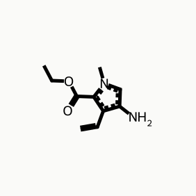 C=Cc1c(N)cn(C)c1C(=O)OCC